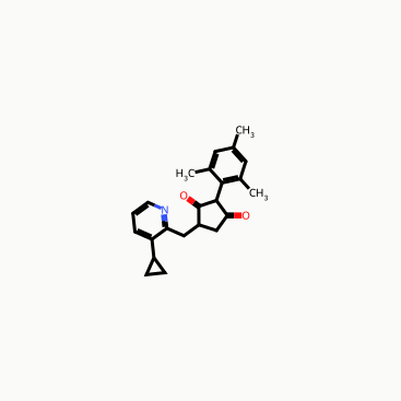 Cc1cc(C)c(C2C(=O)CC(Cc3ncccc3C3CC3)C2=O)c(C)c1